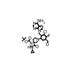 CC(C)(C)OC(=O)N[C@]1(C(=O)NC2CC2)CCN(c2cc(C=O)c(F)c(Cl)c2Cn2cnc3c(N)ncnc32)C1